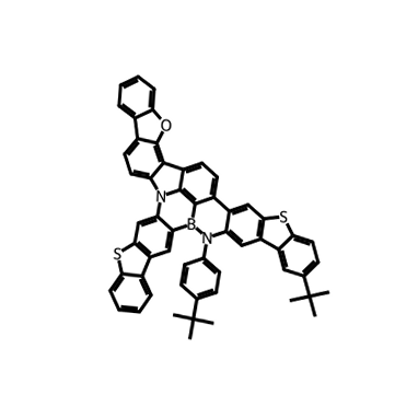 CC(C)(C)c1ccc(N2B3c4cc5c(cc4-n4c6ccc7c8ccccc8oc7c6c6ccc(c3c64)-c3cc4sc6ccc(C(C)(C)C)cc6c4cc32)sc2ccccc25)cc1